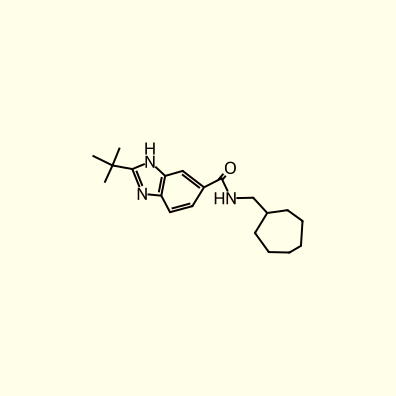 CC(C)(C)c1nc2ccc(C(=O)NCC3CCCCCC3)cc2[nH]1